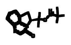 CC(C)(C)[SiH2]OC(C)(C)[C@@H]1Cc2cccc3ncc(=O)n1c23